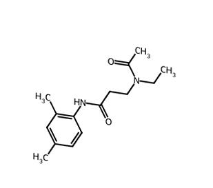 CCN(CCC(=O)Nc1ccc(C)cc1C)C(C)=O